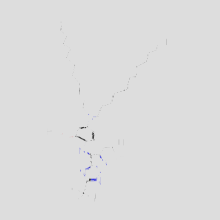 CCCCCCCCCCCCN(CCCCCCCCCCCC)c1ccc(N=C2C(CC(C)C)=Nn3nc(C(C)(C)C)nc32)c(OC)c1